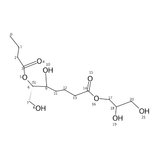 CCCC(=O)O[C@@H](CO)C(O)CCCC(=O)OCC(O)CO